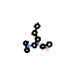 c1ccc(-c2ccc3sc4c(ccc5c4c4cc(-n6c7ccccc7c7ccccc76)ccc4n5-c4ccc5oc6ccccc6c5c4)c3c2)cc1